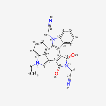 CCn1cc(C2=C(c3cn(CC#N)c4ccccc34)C(=O)N(CC#N)C2=O)c2ccccc21